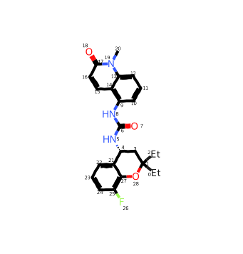 CCC1(CC)C[C@@H](NC(=O)Nc2cccc3c2ccc(=O)n3C)c2cccc(F)c2O1